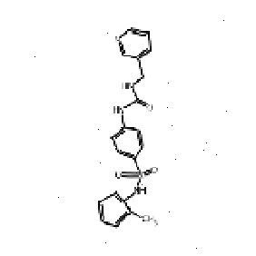 Cc1ccccc1NS(=O)(=O)c1ccc(NC(=O)NCc2cccnc2)cc1